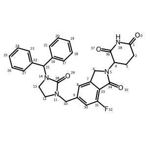 O=C1CCC(N2Cc3cc(CN4CCN(C(c5ccccc5)c5ccccc5)C4=O)cc(F)c3C2=O)C(=O)N1